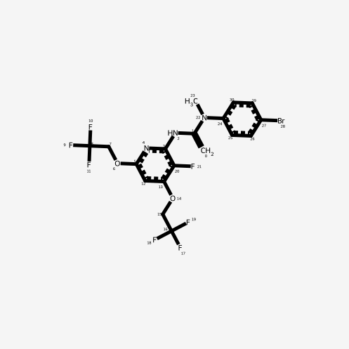 C=C(Nc1nc(OCC(F)(F)F)cc(OCC(F)(F)F)c1F)N(C)c1ccc(Br)cc1